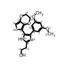 COc1cc(OC)cc(-c2nc(CCO)[nH]c2-c2scc3c2OCCO3)c1